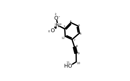 O=[N+]([O-])c1cccc(C#CCO)c1